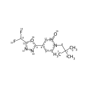 CC(C)(C)Cn1ccc(-c2nnc(C(F)F)o2)cc1=O